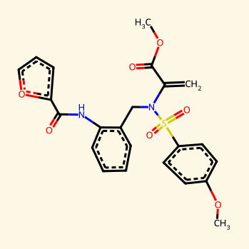 C=C(C(=O)OC)N(Cc1ccccc1NC(=O)c1ccco1)S(=O)(=O)c1ccc(OC)cc1